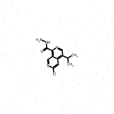 CC(C)c1cnc(C(=O)NN)c2cnc(Cl)cc12